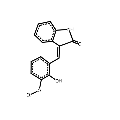 CCOc1cccc(/C=C2/C(=O)Nc3ccccc32)c1O